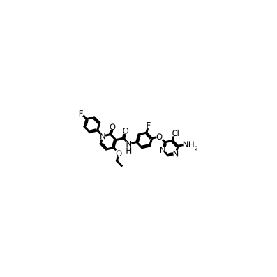 CCOc1ccn(-c2ccc(F)cc2)c(=O)c1C(=O)Nc1ccc(Oc2ncnc(N)c2Cl)c(F)c1